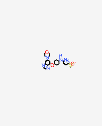 C[S+]([O-])c1ccc(NC2CCC(Oc3cc(N4CCOCC4)cc4nccnc34)CC2)nn1